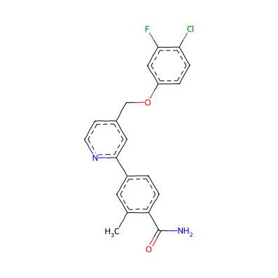 Cc1cc(-c2cc(COc3ccc(Cl)c(F)c3)ccn2)ccc1C(N)=O